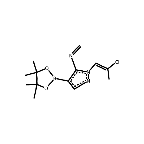 C=Nc1c(B2OC(C)(C)C(C)(C)O2)cnn1/C=C(\C)Cl